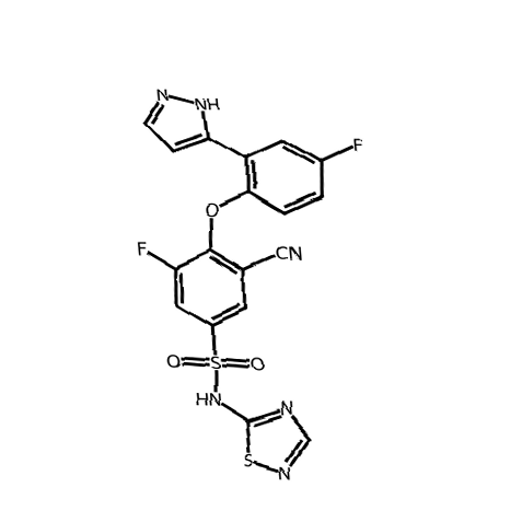 N#Cc1cc(S(=O)(=O)Nc2ncns2)cc(F)c1Oc1ccc(F)cc1-c1ccn[nH]1